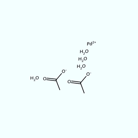 CC(=O)[O-].CC(=O)[O-].O.O.O.O.[Pd+2]